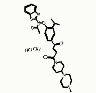 CC(=O)N(Oc1ccc(C(=O)/C=C/C(=O)N2CCC(N3CCN(C)CC3)CC2)cc1C(C)C)c1nc2ccccc2s1.Cl.Cl